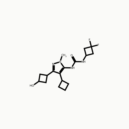 Cn1nc(C2CC(O)C2)c(C2CCC2)c1NC(=O)NC1CC(F)(F)C1